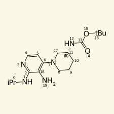 CC(C)Nc1nccc(N2CCC[C@@H](NC(=O)OC(C)(C)C)C2)c1N